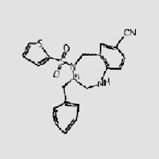 N#Cc1ccc2c(c1)CN(S(=O)(=O)c1cccs1)[C@H](Cc1ccccc1)CN2